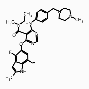 CCN(C)C(=O)c1c(Nc2ccc(CN3CCN(C)CC3)cc2)ncnc1Oc1cc(F)c2[nH]c(C)cc2c1F